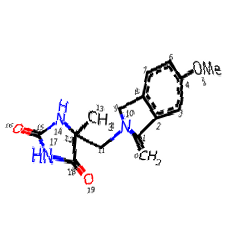 C=C1c2cc(OC)ccc2CN1CC1(C)NC(=O)NC1=O